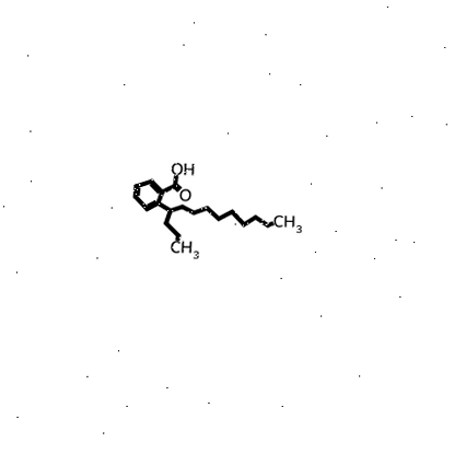 CCCCCCCCCC(CCC)c1ccccc1C(=O)O